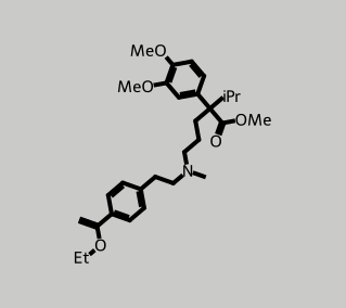 C=C(OCC)c1ccc(CCN(C)CCCC(C(=O)OC)(c2ccc(OC)c(OC)c2)C(C)C)cc1